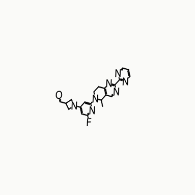 CC1c2cnc(-c3ncccn3)nc2CCN1c1cc(N2CC(C=O)C2)cc(F)n1